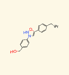 CC(C)Cc1ccc(C2=CN(c3ccc(CO)cc3)NO2)cc1